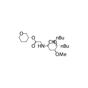 C=C(C[C@H](OC)[C@@H](CCCC)OCCCC)NCC(=O)O[C@@H]1CCCOC1